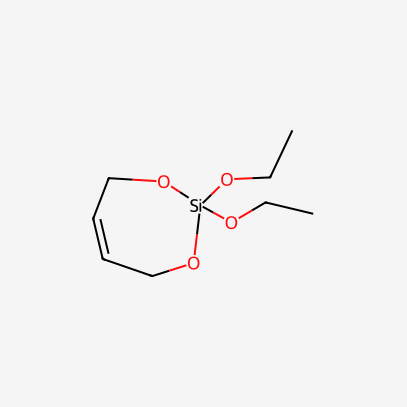 CCO[Si]1(OCC)OCC=CCO1